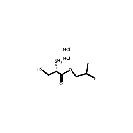 Cl.Cl.N[C@@H](CS)C(=O)OCC(F)F